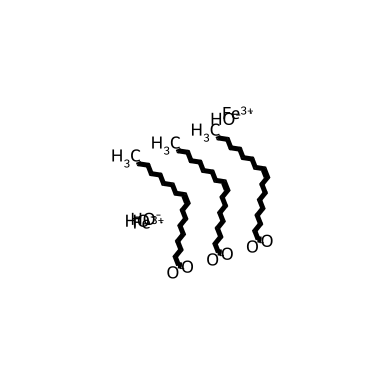 CCCCCCCC/C=C\CCCCCCCC(=O)[O-].CCCCCCCC/C=C\CCCCCCCC(=O)[O-].CCCCCCCC/C=C\CCCCCCCC(=O)[O-].[Fe+3].[Fe+3].[OH-].[OH-].[OH-]